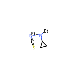 CCN(CC)C1CC1.N=C=S